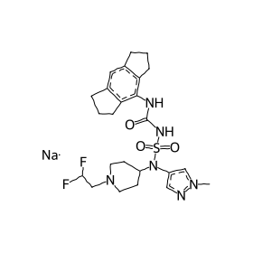 Cn1cc(N(C2CCN(CC(F)F)CC2)S(=O)(=O)NC(=O)Nc2c3c(cc4c2CCC4)CCC3)cn1.[Na]